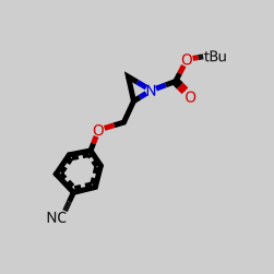 CC(C)(C)OC(=O)N1CC1COc1ccc(C#N)cc1